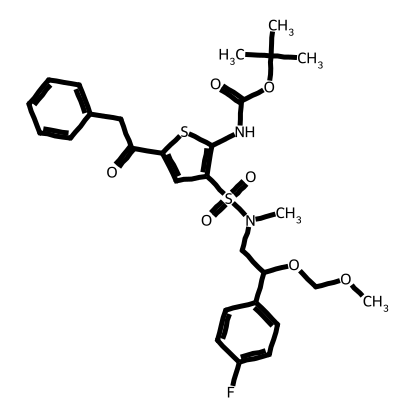 COCOC(CN(C)S(=O)(=O)c1cc(C(=O)Cc2ccccc2)sc1NC(=O)OC(C)(C)C)c1ccc(F)cc1